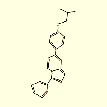 CC(C)COc1ccc(-c2ccn3c(-c4ccccc4)cnc3c2)cc1